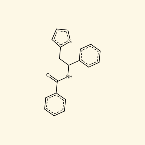 O=C(NC(Cc1cccs1)c1ccccc1)c1ccccc1